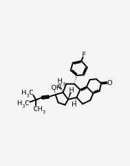 CC(C)(C)C#C[C@]1(O)CC[C@H]2[C@@H]3CCC4=CC(=O)CCC4=C3[C@@H](c3ccc(F)cc3)C[C@@]21C